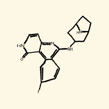 O=c1[nH]ccc2nc(NC3CC4CCC(C3)N4)c3ccc(F)cc3c12